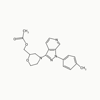 CC(=O)OCC1CN(c2nn(-c3ccc(C)cc3)c3cnccc23)CCO1